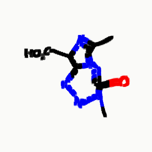 Cc1nc(C(=O)O)c2nnn(C)c(=O)n12